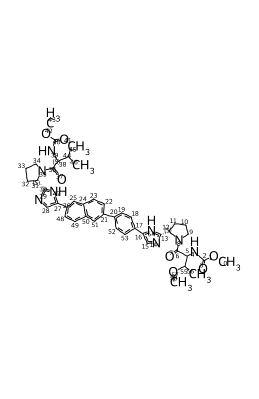 COC(=O)NC(C(=O)N1CCC[C@H]1c1ncc(-c2ccc(-c3ccc4cc(-c5cnc([C@@H]6CCCN6C(=O)[C@@H](NC(=O)OC)C(C)C)[nH]5)ccc4c3)cc2)[nH]1)C(C)OC